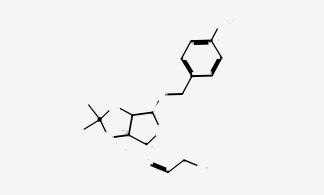 COc1ccc(CO[C@H]2O[C@H](/C=C\CO)[C@H]3OC(C)(C)OC23)cc1